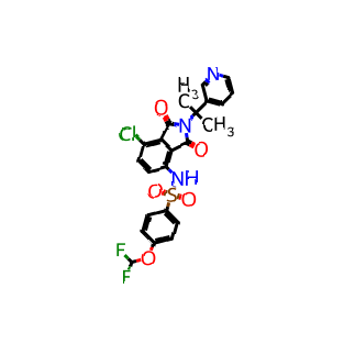 CC(C)(c1cccnc1)N1C(=O)c2c(Cl)ccc(NS(=O)(=O)c3ccc(OC(F)F)cc3)c2C1=O